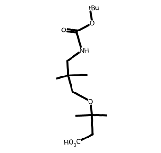 CC(C)(CNC(=O)OC(C)(C)C)COC(C)(C)CC(=O)O